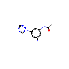 CC(=O)Nc1cc(N)cc(-n2cncn2)c1